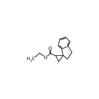 CCOC(=O)C1CC12CCc1ccccc12